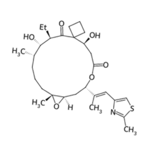 CC[C@H]1C(=O)C2(CCC2)[C@@H](O)CC(=O)O[C@H](C(C)=Cc2csc(C)n2)C[C@H]2O[C@]2(C)CCC[C@H](C)[C@@H]1O